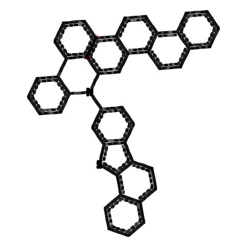 c1ccc(-c2ccccc2N(c2ccc3c(c2)sc2c4ccccc4ccc32)c2ccc3ccc4c5ccccc5ccc4c3c2)cc1